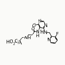 C[C@@H](CNCCC(=O)Nc1c(Cl)ncnc1NCc1ncccc1F)C(=O)O